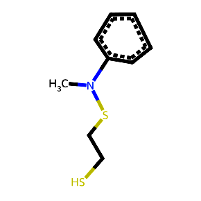 CN(SCCS)c1ccccc1